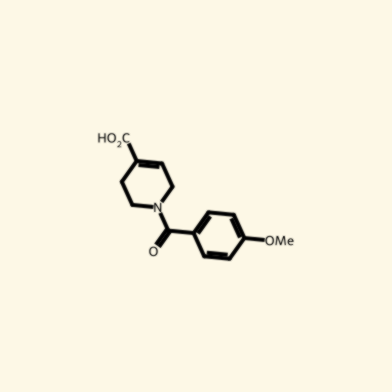 COc1ccc(C(=O)N2CC=C(C(=O)O)CC2)cc1